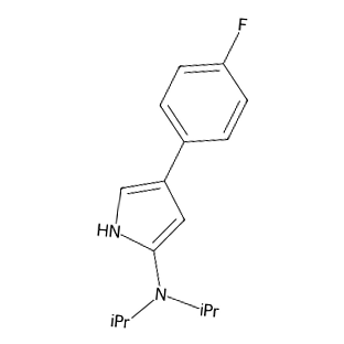 CC(C)N(c1cc(-c2ccc(F)cc2)c[nH]1)C(C)C